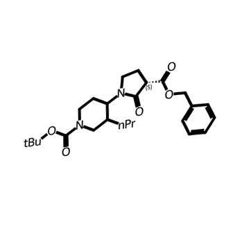 CCCC1CN(C(=O)OC(C)(C)C)CCC1N1CC[C@H](C(=O)OCc2ccccc2)C1=O